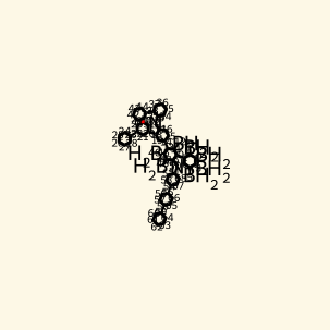 Bc1c(B)c(B)c2c(c1B)c1c(B)c(-c3ccc4c(c3)c3cc(-c5ccccc5)ccc3n4-c3ccccc3-c3ccccc3)c(B)c(B)c1n2-c1ccc(-c2ccc(-c3ccccc3)cc2)cc1